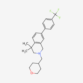 CC1(C)CN(CC2CCOCC2)Cc2cc(-c3ccc(C(F)(F)F)cc3)ccc21